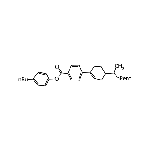 CCCCCC(C)C1CC=C(c2ccc(C(=O)Oc3ccc(CCCC)cc3)cc2)CC1